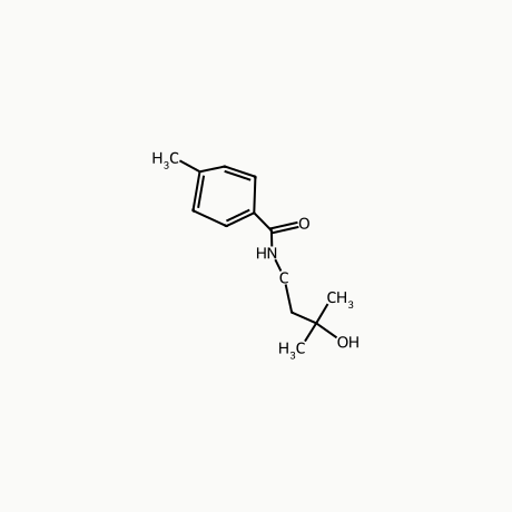 Cc1ccc(C(=O)NCCC(C)(C)O)cc1